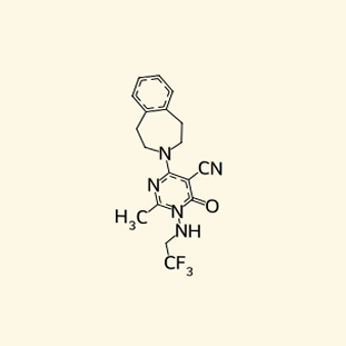 Cc1nc(N2CCc3ccccc3CC2)c(C#N)c(=O)n1NCC(F)(F)F